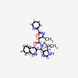 Cc1nc(-c2ccccn2)oc1C(=O)N1C[C@@H](C)c2[nH]cnc2[C@H]1c1cc2ccccc2cn1